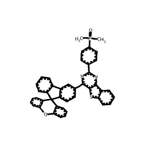 CP(C)(=O)c1ccc(-c2nc(-c3ccc4c(c3)-c3ccccc3C43c4ccccc4Oc4ccccc43)c3sc4ccccc4c3n2)cc1